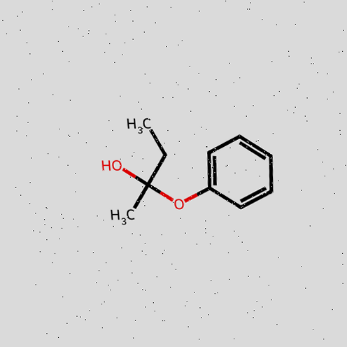 CCC(C)(O)Oc1ccccc1